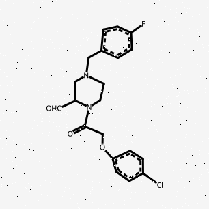 O=CC1CN(Cc2ccc(F)cc2)CCN1C(=O)COc1ccc(Cl)cc1